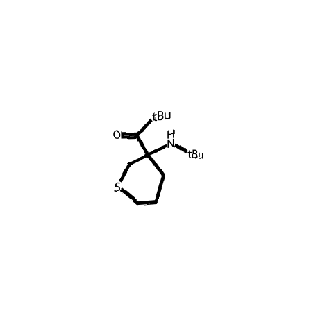 CC(C)(C)NC1(C(=O)C(C)(C)C)CCCSC1